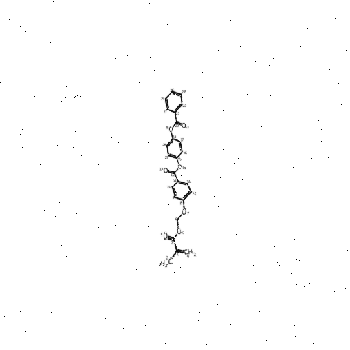 C=C(C)C(=O)OCOc1ccc(C(=O)Oc2ccc(OC(=O)c3ccccc3)cc2)cc1